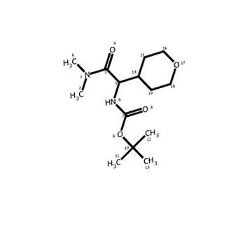 CN(C)C(=O)C(NC(=O)OC(C)(C)C)C1CCOCC1